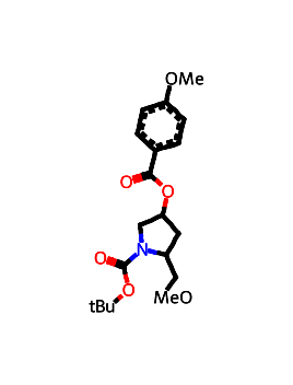 COCC1CC(OC(=O)c2ccc(OC)cc2)CN1C(=O)OC(C)(C)C